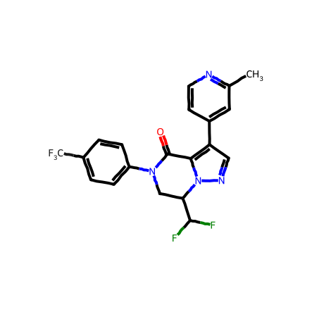 Cc1cc(-c2cnn3c2C(=O)N(c2ccc(C(F)(F)F)cc2)CC3C(F)F)ccn1